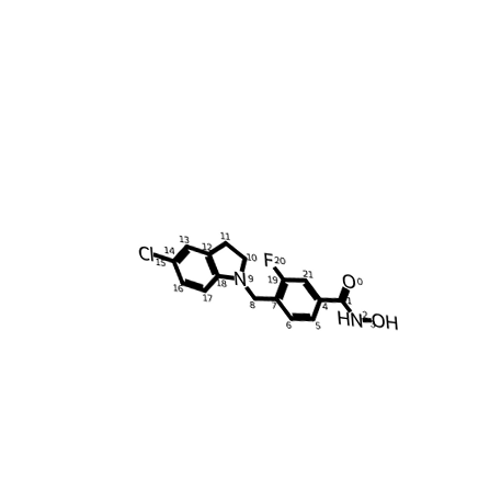 O=C(NO)c1ccc(CN2CCc3cc(Cl)ccc32)c(F)c1